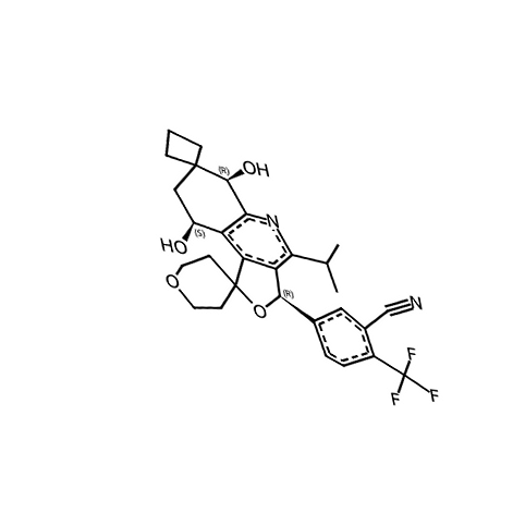 CC(C)c1nc2c(c3c1[C@@H](c1ccc(C(F)(F)F)c(C#N)c1)OC31CCOCC1)[C@@H](O)CC1(CCC1)[C@H]2O